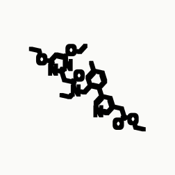 CCOC(=O)Cc1cncc(-c2ccc(C)cc2CN(CC)C(=O)Cc2nc(OCC)cc(OCC)n2)c1